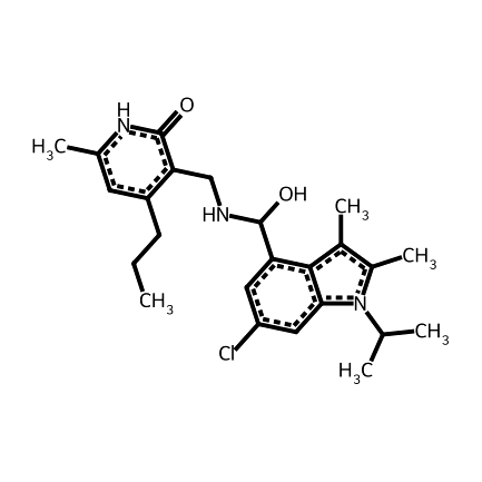 CCCc1cc(C)[nH]c(=O)c1CNC(O)c1cc(Cl)cc2c1c(C)c(C)n2C(C)C